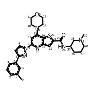 Cc1cccc(-c2ccn(-c3cc(N4CCOCC4)c4sc(C(=O)NC5CCCN(C)C5)cc4n3)n2)c1